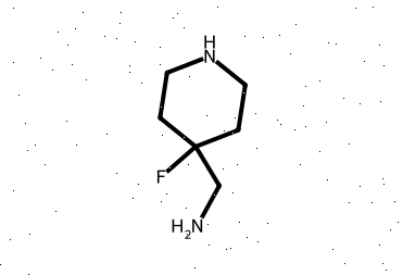 NCC1(F)CCNCC1